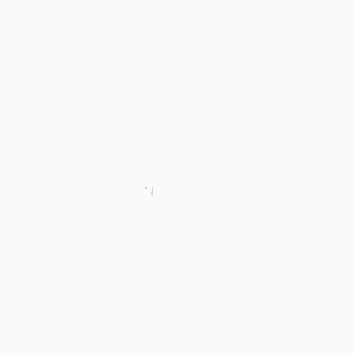 c1ccc(-c2cccc(N(c3ccc(-c4cccc(-c5cccc6ccccc56)c4)cc3)c3ccc(-c4cccc5sc6ccccc6c45)cc3)c2)cc1